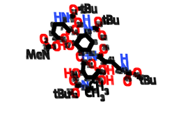 CNC(=O)O[C@H]1CC[C@@H](NC(=O)OC(C)(C)C)[C@H](O[C@H]2[C@H](O)[C@@H](O[C@H]3OC[C@](C)(O)[C@H](N(C)C(=O)OC(C)(C)C)[C@H]3O)[C@H](NC(=O)C(O)CCNC(=O)OC(C)(C)C)C[C@@H]2NC(=O)OC(C)(C)C)O1